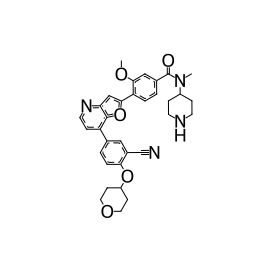 COc1cc(C(=O)N(C)C2CCNCC2)ccc1-c1cc2nccc(-c3ccc(OC4CCOCC4)c(C#N)c3)c2o1